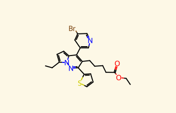 CCOC(=O)CCCCc1c(-c2cccs2)nn2c(CC)ccc2c1-c1cncc(Br)c1